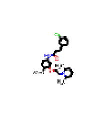 COc1ccc(NC(=O)C=Cc2cccc(Cl)c2)cc1OCCN1[C@H](C)CCC[C@@H]1C